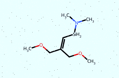 COCC(=C[SiH2]N(C)C)COC